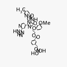 COc1ccccc1Oc1c(NS(=O)(=O)c2ccc(C)cn2)nc(-c2ccnc(-c3nnn[nH]3)c2)nc1OCCOC(=O)c1cccc(CON(O)O)c1